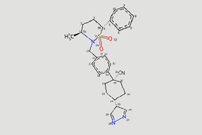 C[C@H]1CC[C@H](c2ccccc2)S(=O)(=O)N1Cc1ccc([C@]2(C#N)CC[C@@H](C3C=NN=C3)CC2)cc1